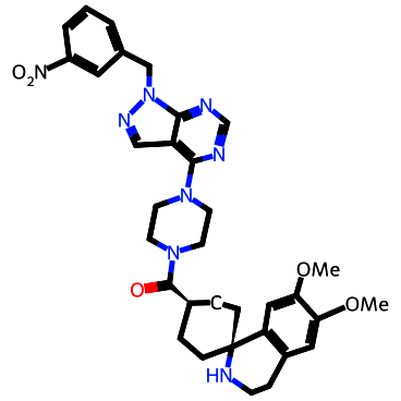 COc1cc2c(cc1OC)[C@]1(CC[C@H](C(=O)N3CCN(c4ncnc5c4cnn5Cc4cccc([N+](=O)[O-])c4)CC3)CC1)NCC2